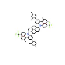 Cc1ccc(-c2ccc(N(C3=C4C=CC5=C6C(=CC=C(C=C3)C46)C(N(c3ccc(C(F)(F)F)cc3)c3ccc(-c4ccc(C)cc4C)cc3-c3ccc(C)cc3C)C=C5)c3ccc(C(F)(F)F)cc3)c(-c3ccc(C)cc3C)c2)c(C)c1